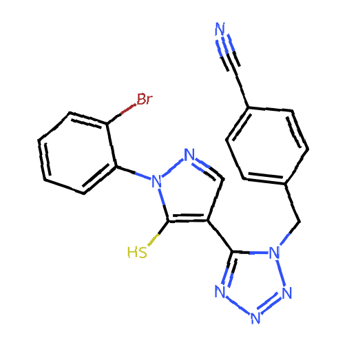 N#Cc1ccc(Cn2nnnc2-c2cnn(-c3ccccc3Br)c2S)cc1